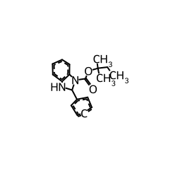 CCC(C)(C)OC(=O)N1c2ccccc2NC1c1ccccc1